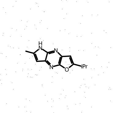 Cc1cc2nc3oc(C(C)C)cc3nc2[nH]1